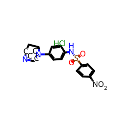 Cl.O=[N+]([O-])c1ccc(S(=O)(=O)Nc2ccc(N3CCN4CCC3CC4)cc2)cc1